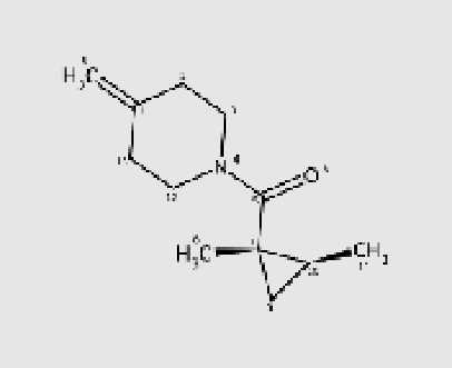 C=C1CCN(C(=O)[C@@]2(C)C[C@@H]2C)CC1